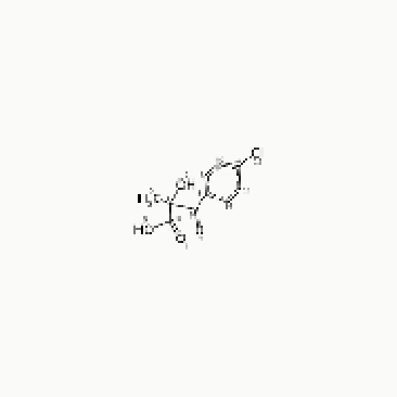 CC(O)(C(=O)O)C(=O)c1ccc(Cl)cc1